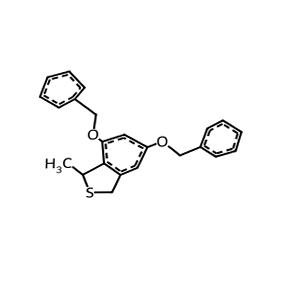 CC1SCc2cc(OCc3ccccc3)cc(OCc3ccccc3)c21